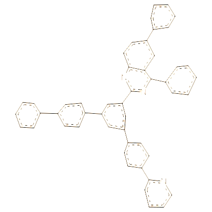 c1ccc(-c2ccc(-c3cc(-c4ccc(-c5ccccn5)cc4)cc(-c4nc(-c5ccccc5)c5cc(-c6ccccc6)ccc5n4)c3)cc2)cc1